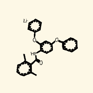 Cc1cccc(C)c1C(=O)Pc1ccc(Oc2ccccc2)cc1Oc1ccccc1.[Li]